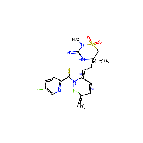 C=C(F)/C=C\C(=C/C[C@]1(C)CS(=O)(=O)N(C)C(=N)N1)NC(=S)c1ccc(F)cn1